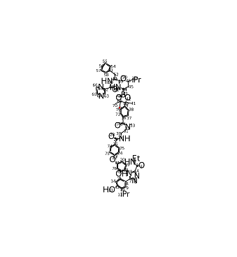 CCNC(=O)c1nnc(-c2cc(C(C)C)c(O)cc2O)n1-c1ccc(Oc2ccc(C(=O)NCCN(C)C(=O)c3ccc(C4(C)OB([C@H](CCC(C)C)NC(=O)[C@H](Cc5ccccc5)NC(=O)c5cnccn5)OC4(C)C)cc3)cc2)cc1